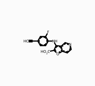 C#Cc1ccc(Nc2c(C(=O)O)oc3ccncc23)c(F)c1